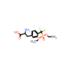 CCOP(=O)(OCC)C(F)(F)c1ccc(CC(N)C(=O)O)cc1